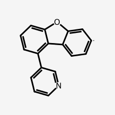 [c]1ccc2c(c1)oc1cccc(-c3cccnc3)c12